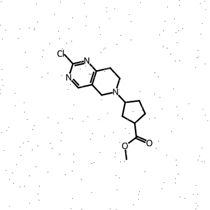 COC(=O)C1CCC(N2CCc3nc(Cl)ncc3C2)C1